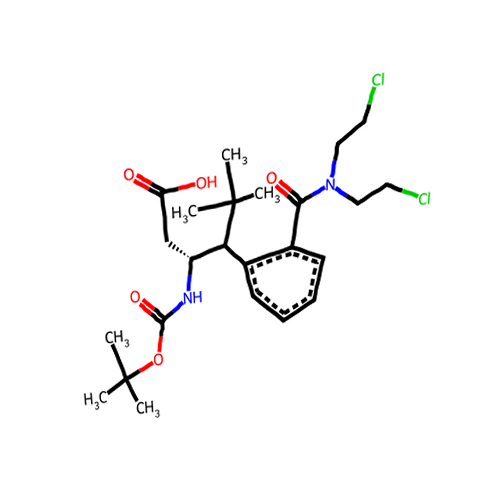 CC(C)(C)OC(=O)N[C@H](CC(=O)O)C(c1ccccc1C(=O)N(CCCl)CCCl)C(C)(C)C